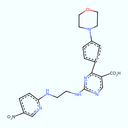 O=C(O)c1cnc(NCCNc2ccc([N+](=O)[O-])cn2)nc1-c1ccc(N2CCOCC2)cc1